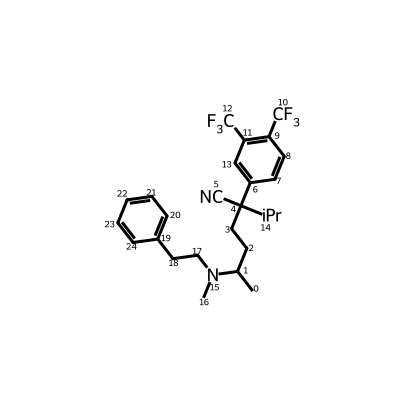 CC(CCC(C#N)(c1ccc(C(F)(F)F)c(C(F)(F)F)c1)C(C)C)N(C)CCc1ccccc1